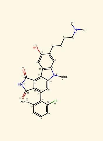 CCCCn1c2cc(CCCCN(C)C)c(O)cc2c2c3c(c(-c4c(Cl)cccc4OC)cc21)C(=O)NC3=O